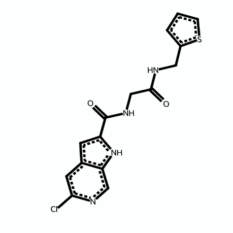 O=C(CNC(=O)c1cc2cc(Cl)ncc2[nH]1)NCc1cccs1